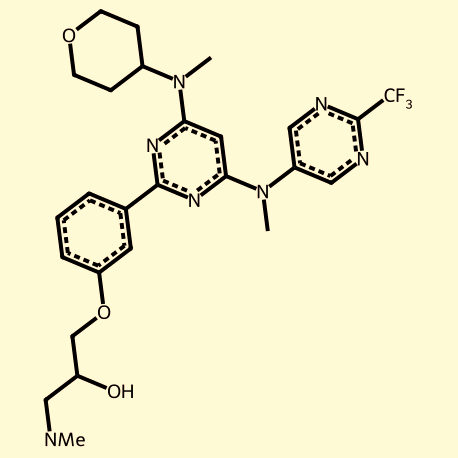 CNCC(O)COc1cccc(-c2nc(N(C)c3cnc(C(F)(F)F)nc3)cc(N(C)C3CCOCC3)n2)c1